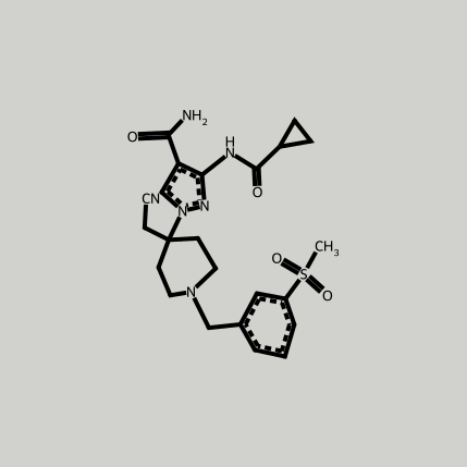 CS(=O)(=O)c1cccc(CN2CCC(CC#N)(n3cc(C(N)=O)c(NC(=O)C4CC4)n3)CC2)c1